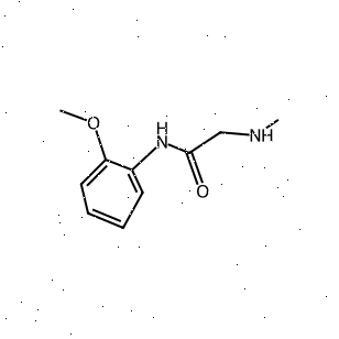 CNCC(=O)Nc1ccccc1OC